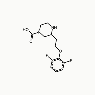 O=C(O)N1CCNC(CCOc2c(F)cccc2F)C1